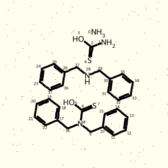 N.NC(O)=S.OC(=S)N(Cc1ccccc1)Cc1ccccc1.c1ccc(CNCc2ccccc2)cc1